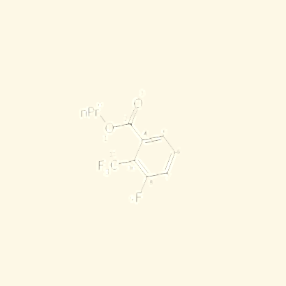 CCCOC(=O)c1cccc(F)c1C(F)(F)F